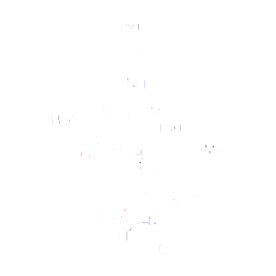 COc1ccc2c3c1O[C@H]1C(OC(=O)[C@H](C)OC(=O)[C@H](CC(=O)OCC(C)C)NC(=O)OC(C)(C)C)=CC[C@@]4(O)[C@@H](C2)N(C)CCC314